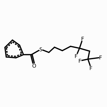 O=C(SCCCCC(F)(F)CC(F)(F)F)c1ccccc1